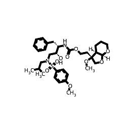 COc1ccc(S(=O)(=O)N(CC(C)C)C[C@@H](O)[C@H](Cc2ccccc2)NC(=O)OCC[C@]2(OC)CO[C@@H]3OCCC[C@@H]32)cc1